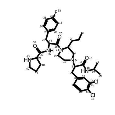 CCCC1CN(C(Cc2ccc(Cl)c(Cl)c2)C(=O)NC(C)C)CCN1C(=O)C(Cc1ccc(F)cc1)NC(=O)C1CCCN1